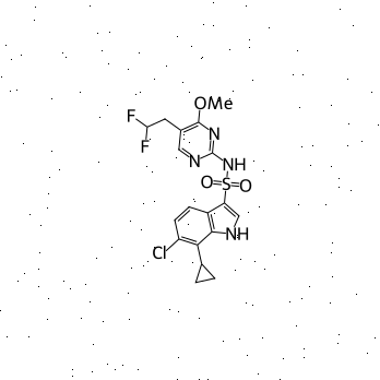 COc1nc(NS(=O)(=O)c2c[nH]c3c(C4CC4)c(Cl)ccc23)ncc1CC(F)F